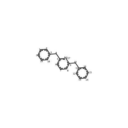 c1ccc(Cc2cccc(Cc3ccccc3)n2)cc1